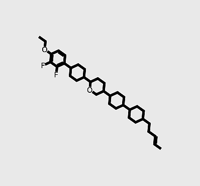 C/C=C/CCC1CCC(C2CCC(C3CCC(C4CCC(c5ccc(OCC)c(F)c5F)CC4)OC3)CC2)CC1